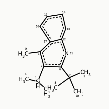 Cc1c([SiH](C)C)c(C(C)(C)C)nc2ccccc12